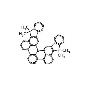 CC1(C)c2ccccc2-c2cc3c4c(cccc4c21)-c1cccc2c1B3c1cc3c(c4cccc-2c14)C(C)(C)c1ccccc1-3